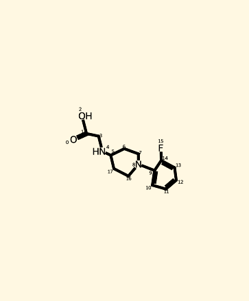 O=C(O)CNC1CCN(c2ccccc2F)CC1